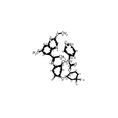 COc1cnc2c(/C(C)=N/c3cc(F)c(O[C@H]4CC(F)(F)CC[C@H]4OC(=O)Nc4ccnnc4)cc3C)cc(C)cc2n1